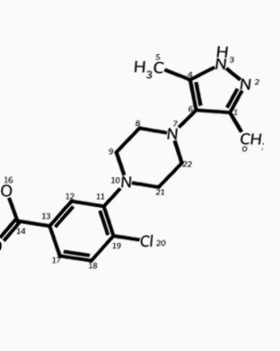 Cc1n[nH]c(C)c1N1CCN(c2cc(C(=O)O)ccc2Cl)CC1